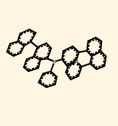 c1ccc(N(c2ccc(-c3cccc4cccc(-c5ccccn5)c34)cc2)c2ccc(-c3cccc4ccccc34)c3ccccc23)cc1